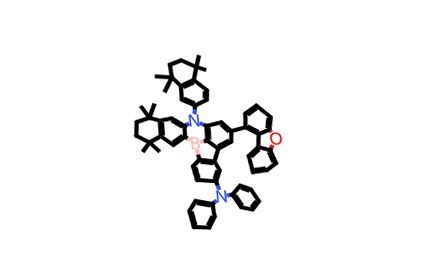 CC1(C)CCC(C)(C)c2cc(N3c4cc5c(cc4B4c6ccc(N(c7ccccc7)c7ccccc7)cc6-c6cc(-c7cccc8oc9ccccc9c78)cc3c64)C(C)(C)CCC5(C)C)ccc21